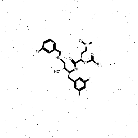 CCc1cccc(CNC[C@@H](O)[C@H](Cc2cc(F)cc(F)c2)NC(=O)[C@@H](CC[S+](C)[O-])OC(N)=O)c1